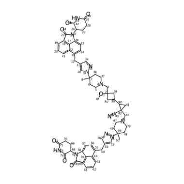 COC1(CN2CCC(C)(n3cc(Cc4ccc5c6c(cccc46)C(=O)N5C4CCC(=O)NC4=O)cn3)CC2)CC(C2CC2(C#N)CN2CCC(C)(n3cc(Cc4ccc5c6c(cccc46)C(=O)N5C4CCC(=O)NC4=O)cn3)CC2)C1